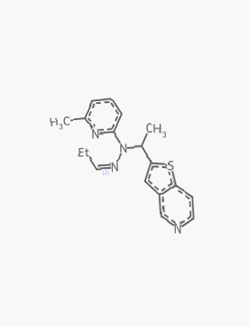 CC/C=N\N(c1cccc(C)n1)C(C)c1cc2cnccc2s1